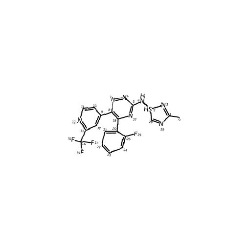 CC1=N[SH](Nc2nnc(-c3ccnc(C(F)(F)F)c3)c(-c3ccccc3F)n2)C=N1